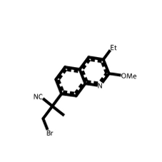 CCc1cc2ccc(C(C)(C#N)CBr)cc2nc1OC